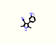 Cc1[nH]c(C)c(-c2cccc(N)c2)c1C#N